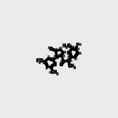 Cc1cc(C(F)(F)F)cc(N2C(=O)CC[C@H]2C(=O)N(C)c2ccc(F)c(C)n2)n1